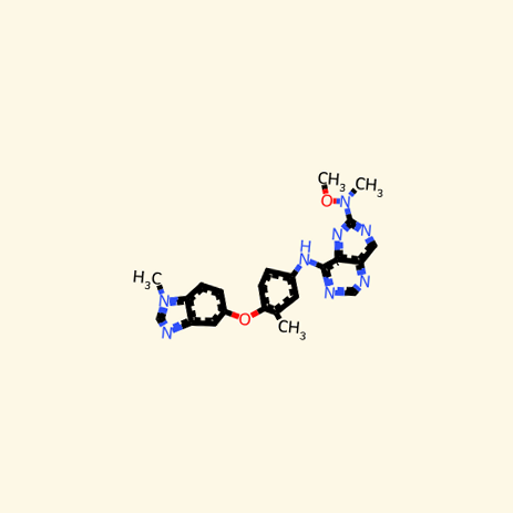 CON(C)c1ncc2ncnc(Nc3ccc(Oc4ccc5c(c4)ncn5C)c(C)c3)c2n1